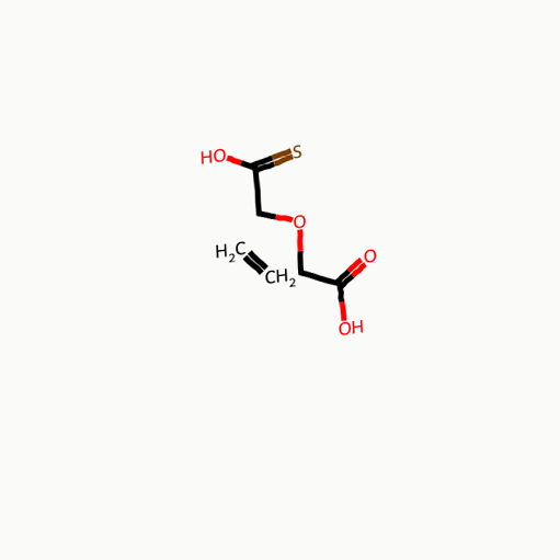 C=C.O=C(O)COCC(O)=S